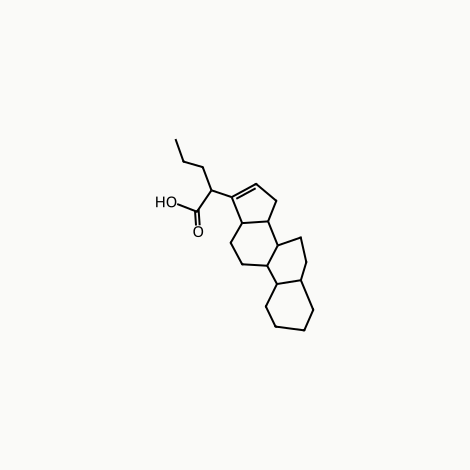 CCCC(C(=O)O)C1=CCC2C1CCC1C3CCCCC3CCC21